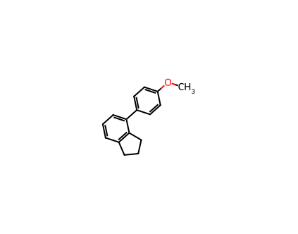 COc1ccc(-c2cccc3c2CCC3)cc1